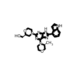 C[C@@H]1COCCN1c1nc(N2CCO[C@H](CO)C2)nc2[nH]c(-c3cccc4[nH]ccc34)nc12